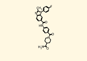 Cc1nc2ccc(C(=O)Nc3ccc(C(=O)N4CCC(C(N)=O)CC4)cc3)cc2n1-c1ccc(F)cc1